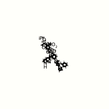 Cc1ccccc1[C@@H]1CCCN1C1CC2(C1)CN(c1ccc(C(=O)NS(=O)(=O)c3cc4c(c([N+](=O)[O-])c3)N[C@@H](COC(C)C)CO4)c(Oc3cnc4[nH]ccc4c3)c1)C2